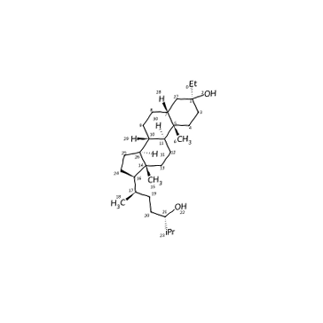 CC[C@]1(O)CC[C@@]2(C)[C@H](CC[C@@H]3[C@@H]2CC[C@]2(C)[C@@H]([C@H](C)CC[C@H](O)C(C)C)CC[C@@H]32)C1